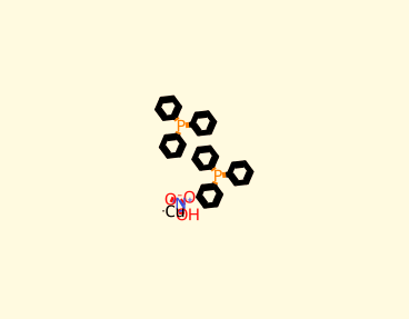 O=[N+]([O-])O.[Cu].c1ccc(P(c2ccccc2)c2ccccc2)cc1.c1ccc(P(c2ccccc2)c2ccccc2)cc1